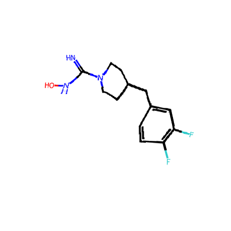 N=C(NO)N1CCC(Cc2ccc(F)c(F)c2)CC1